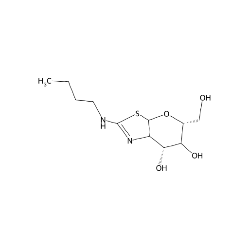 CCCCNC1=NC2C(O[C@H](CO)C(O)[C@@H]2O)S1